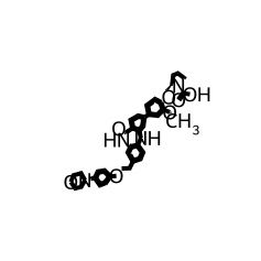 COc1cc(-c2ccc3c(c2)Nc2ccc(CCOc4ccc(N5CCOCC5)cc4)cc2NC3=O)ccc1OC[C@H]1CCCN1C(=O)O